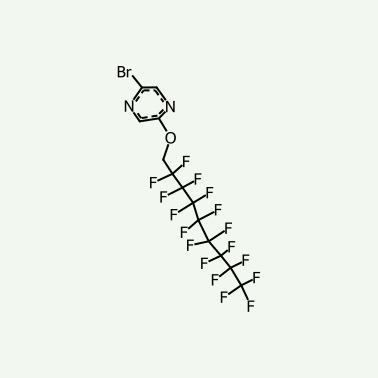 FC(F)(F)C(F)(F)C(F)(F)C(F)(F)C(F)(F)C(F)(F)C(F)(F)C(F)(F)COc1cnc(Br)cn1